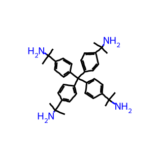 CC(C)(N)c1ccc(C(c2ccc(C(C)(C)N)cc2)(c2ccc(C(C)(C)N)cc2)c2ccc(C(C)(C)N)cc2)cc1